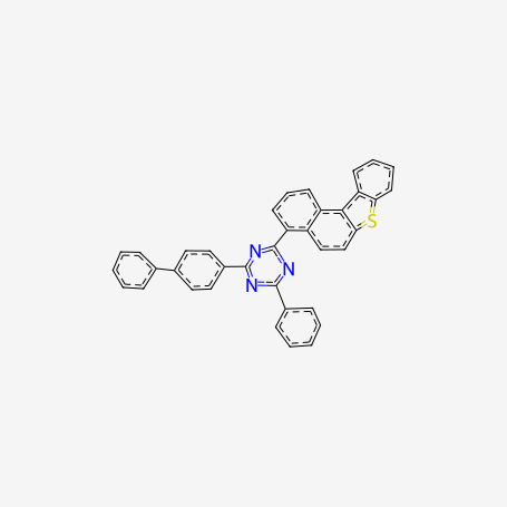 c1ccc(-c2ccc(-c3nc(-c4ccccc4)nc(-c4cccc5c4ccc4sc6ccccc6c45)n3)cc2)cc1